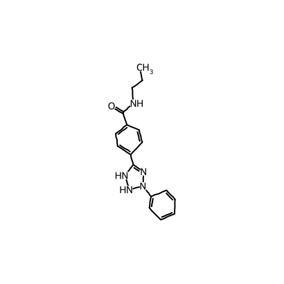 CCCNC(=O)c1ccc(C2=NN(c3ccccc3)NN2)cc1